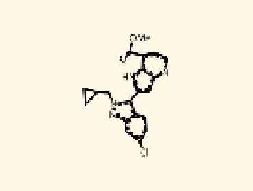 COC(=O)c1ccnc2cc(-c3c4ccc(Cl)cc4nn3CC3CC3)[nH]c12